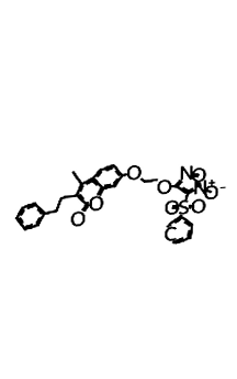 Cc1c(CCc2ccccc2)c(=O)oc2cc(OCCOc3no[n+]([O-])c3S(=O)(=O)c3ccccc3)ccc12